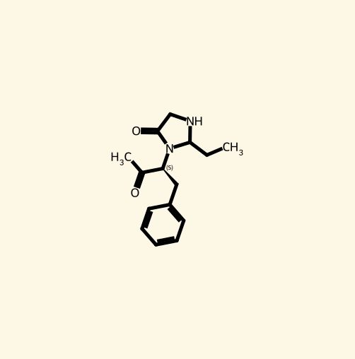 CCC1NCC(=O)N1[C@@H](Cc1ccccc1)C(C)=O